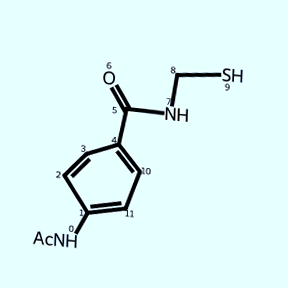 CC(=O)Nc1ccc(C(=O)NCS)cc1